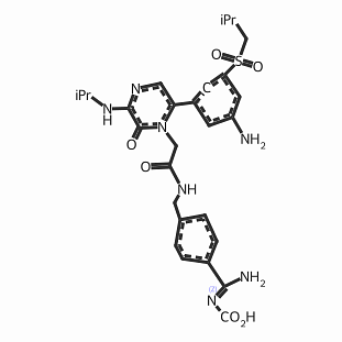 CC(C)CS(=O)(=O)c1cc(N)cc(-c2cnc(NC(C)C)c(=O)n2CC(=O)NCc2ccc(/C(N)=N/C(=O)O)cc2)c1